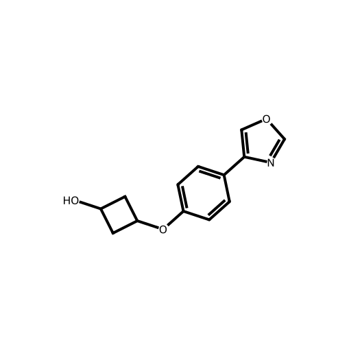 OC1CC(Oc2ccc(-c3cocn3)cc2)C1